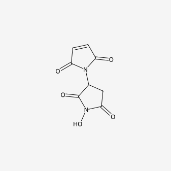 O=C1CC(N2C(=O)C=CC2=O)C(=O)N1O